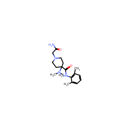 Cc1cccc(C)c1NC(=O)C1(N(C)C)CCN(CC(N)=O)CC1